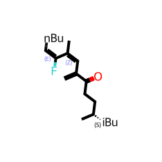 C=C(/C=C(C)\C(F)=C/CCCC)C(=O)CCC(C)[C@@H](C)CC